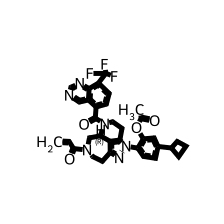 C=CC(=O)N1CCc2nn(-c3ccc(C4CCC4)cc3OC(C)=O)c3c2[C@H](C1)N(C(=O)c1ccc(C(F)(F)F)c2ncncc12)CC3